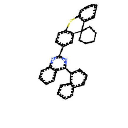 c1ccc2c(c1)Sc1ccc(-c3nc(-c4cccc5ccccc45)c4ccccc4n3)cc1C21CCCCC1